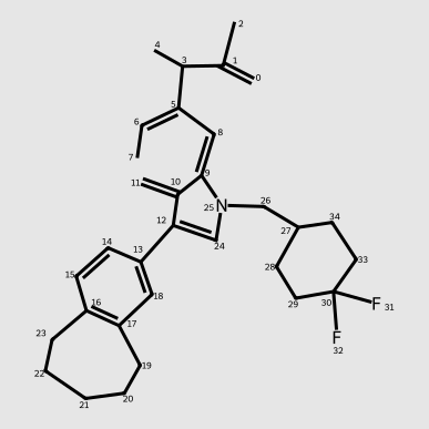 C=C(C)C(C)C(=C/C)/C=c1\c(=C)c(-c2ccc3c(c2)CCCCC3)cn1CC1CCC(F)(F)CC1